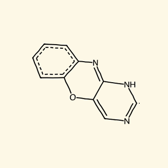 [C]1=NC=C2Oc3ccccc3N=C2N1